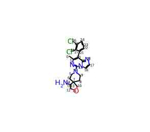 Cc1nc(N2CCC3(CC2)COC[C@H]3N)n2ccnc2c1-c1cccc(Cl)c1Cl